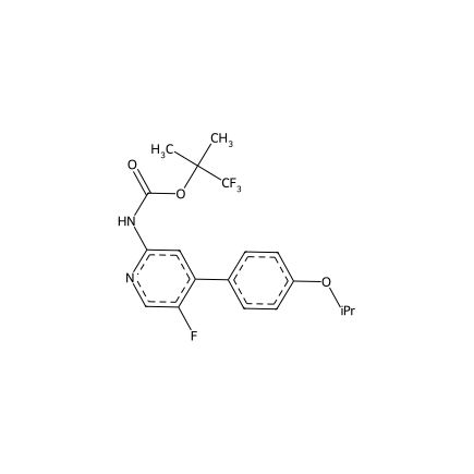 CC(C)Oc1ccc(-c2cc(NC(=O)OC(C)(C)C(F)(F)F)ncc2F)cc1